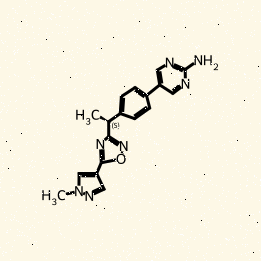 C[C@@H](c1ccc(-c2cnc(N)nc2)cc1)c1noc(-c2cnn(C)c2)n1